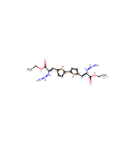 CCOC(=O)/C(=C/c1ccc(-c2ccc(/C=C(\N=[N+]=[N-])C(=O)OCC)s2)s1)N=[N+]=[N-]